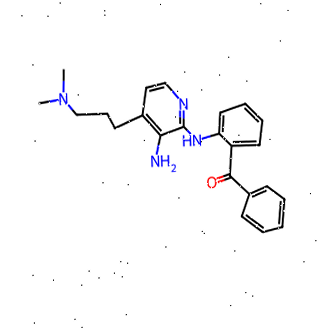 CN(C)CCCc1ccnc(Nc2ccccc2C(=O)c2ccccc2)c1N